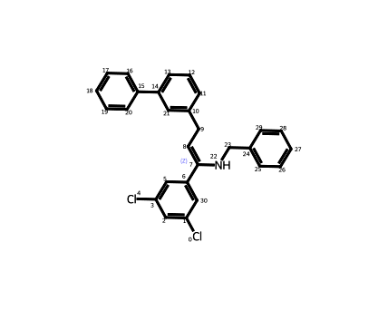 Clc1cc(Cl)cc(/C(=C/Cc2cccc(-c3ccccc3)c2)NCc2ccccc2)c1